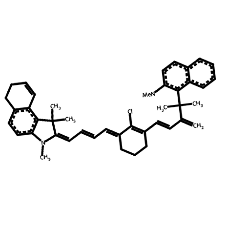 C=C(/C=C/C1=C(Cl)C(=C/C=C/C=C2/N(C)c3ccc4c(c3C2(C)C)C=CCC4)/CCC1)C(C)(C)c1c(NC)ccc2ccccc12